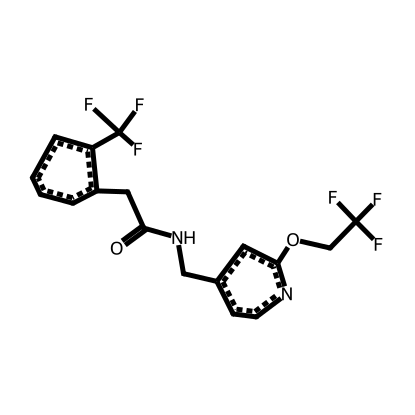 O=C(Cc1ccccc1C(F)(F)F)NCc1ccnc(OCC(F)(F)F)c1